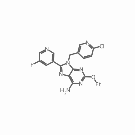 CCOc1nc(N)c2nc(-c3cncc(F)c3)n(Cc3ccc(Cl)nc3)c2n1